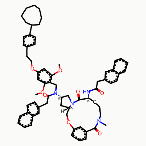 COc1cc(OCCc2ccc(C3CCCCCCC3)cc2)cc(OC)c1CN(C(=O)Cc1ccc2ccccc2c1)[C@H]1C[C@H]2COc3cccc(c3)C(=O)N(C)CCC[C@H](NC(=O)Cc3ccc4ccccc4c3)C(=O)N2C1